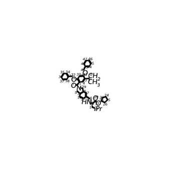 C=C(C)c1cc(C(=O)N2Cc3ccc(CN[C@H](CC(C)C)C(=O)OC4CCCC4)cc3C2)c(OCc2ccccc2)cc1OCc1ccccc1